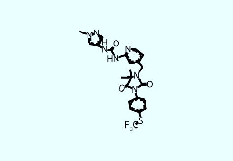 Cn1cc(NC(=O)Nc2cc(CN3C(=O)N(c4ccc(SC(F)(F)F)cc4)C(=O)C3(C)C)ccn2)cn1